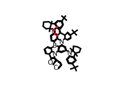 CC(C)(C)C1=CC(C2=CCCC=C2)C(N2c3cc(N4c5ccc(C(C)(C)C)cc5C5(C)CCCCC45C)ccc3B3C4=CC=CC5c6oc7ccccc7c6N(c6cc(N7c8ccc(C(C)(C)C)cc8C8(C)CCCCC78C)cc2c63)C45)C=C1